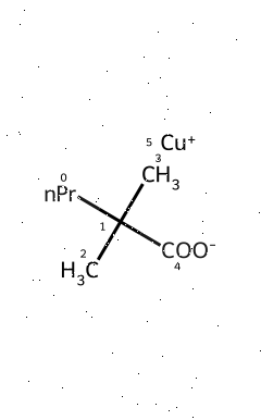 CCCC(C)(C)C(=O)[O-].[Cu+]